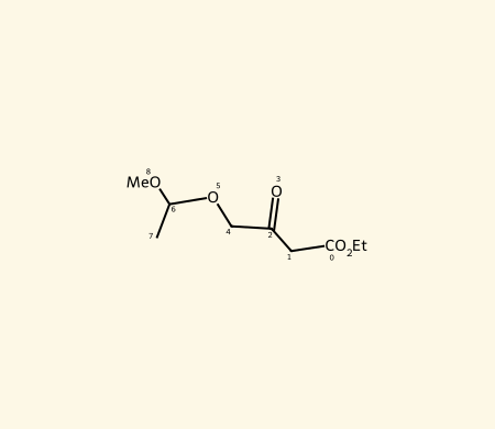 CCOC(=O)CC(=O)COC(C)OC